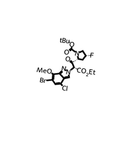 CCOC(=O)[C@@H](C(=O)[C@H]1C[C@@H](F)CN1C(=O)OC(C)(C)C)n1cc2c(Cl)cc(Br)c(OC)c2n1